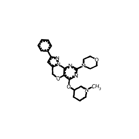 CN1CCCC(Oc2nc(N3CCOCC3)nc3c2OCc2cc(-c4ccccc4)nn2-3)C1